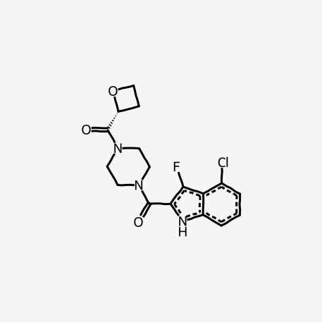 O=C(c1[nH]c2cccc(Cl)c2c1F)N1CCN(C(=O)[C@H]2CCO2)CC1